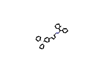 C(=C\c1c2ccccc2nc2ccccc12)/c1ccc(-c2ccc(N(c3ccccc3)c3ccccc3)cc2)s1